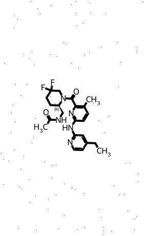 CCc1ccnc(Nc2ccc(C)c(C(=O)N3CC(F)(F)CC[C@@H]3CNC(C)=O)n2)c1